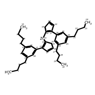 CCCCc1cc(CCCC)cc(C2=[C]([Zr][C]3=C(c4cc(CCCC)cc(CCCC)c4)C=CC3)CC=C2)c1